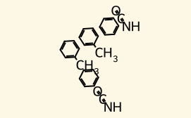 Cc1ccccc1.Cc1ccccc1.N=C=O.N=C=O.c1ccccc1.c1ccccc1